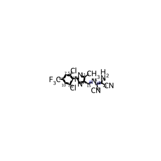 Cc1nn(-c2c(Cl)cc(C(F)(F)F)cc2Cl)nc1/C=N/C(C#N)=C(\N)C#N